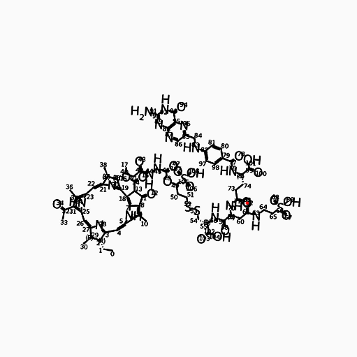 CC[C@H]1c2cc3[nH]c4c(c3C)C(=O)C(C(=O)OC)c4c3nc(cc4[nH]c(cc(n2)[C@@H]1C)c(C(C)=O)c4C)[C@@H](C)[C@@H]3CCC(=O)NNC(=O)OC(CCSSC[C@H](NC(=O)[C@H](CC(=O)NCCS(=O)(=O)O)NC(=O)CC[C@H](NC(=O)c1ccc(NCc2cnc3nc(N)[nH]c(=O)c3n2)cc1)C(=O)O)C(=O)O)S(=O)(=O)O